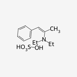 CCN(CC)C(C)=Cc1ccccc1.O=S(=O)(O)O